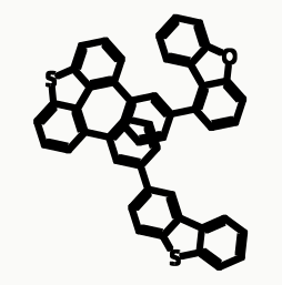 c1cc(-c2ccc3sc4ccccc4c3c2)cc(-c2cccc3sc4cccc(-c5cccc(-c6cccc7oc8ccccc8c67)c5)c4c23)c1